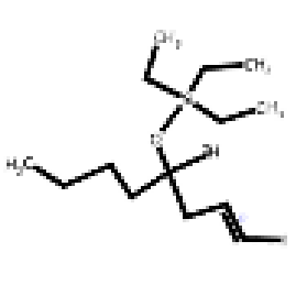 [2H]C(C/C=C/I)(CCCC)O[Si](CC)(CC)CC